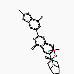 Cc1cn2cc(-c3nc(=O)n4cc(N5CC6CCC(C5)N6C(=O)OC(C)(C)C)ccc4n3)cc(F)c2n1